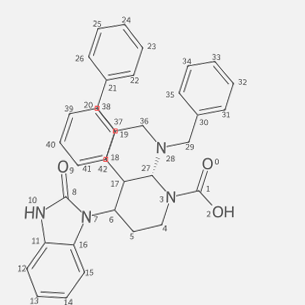 O=C(O)N1CCC(n2c(=O)[nH]c3ccccc32)C(CCCc2ccccc2)[C@@H]1N(Cc1ccccc1)Cc1ccccc1